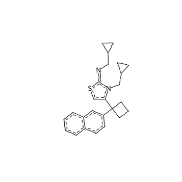 c1ccc2cc(C3(c4csc(=NCC5CC5)n4CC4CC4)CCC3)ccc2c1